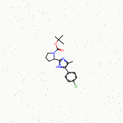 Cc1nc(C2CCCN2C(=O)OC(C)(C)C)[nH]c1-c1ccc(Cl)cc1